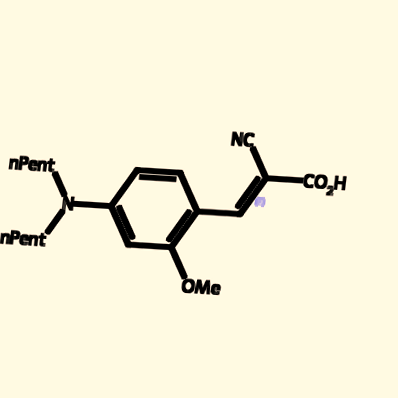 CCCCCN(CCCCC)c1ccc(/C=C(\C#N)C(=O)O)c(OC)c1